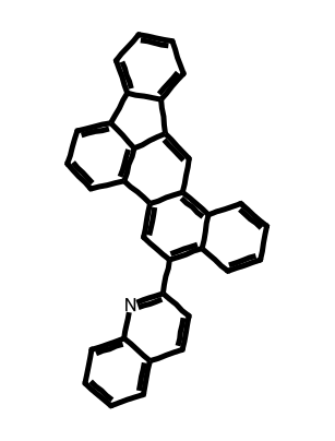 c1ccc2c(c1)-c1cccc3c1c-2cc1c2ccccc2c(-c2ccc4ccccc4n2)cc31